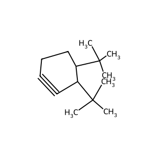 CC(C)(C)C1C#CCCC1C(C)(C)C